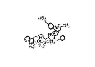 Cc1cc(CN2CCN([C@H](C(=O)N[C@@H](Cc3ccccc3)[C@@H](O)CN(CC(C)C)S(=O)(=O)c3ccc(C=NO)cc3)C(C)(C)C)C2=O)c2ccccc2n1